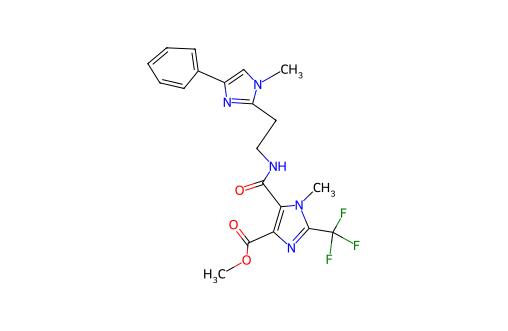 COC(=O)c1nc(C(F)(F)F)n(C)c1C(=O)NCCc1nc(-c2ccccc2)cn1C